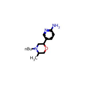 CCCCN1CC(c2ccc(N)nc2)OCC1C